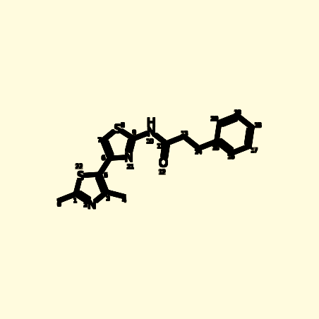 Cc1nc(C)c(-c2csc(NC(=O)CCc3ccccc3)n2)s1